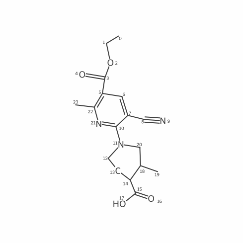 CCOC(=O)c1cc(C#N)c(N2CCC(C(=O)O)C(C)C2)nc1C